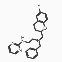 Fc1ccc2c(c1)CCC(CN(CCNc1ncccn1)Cc1ccccc1)O2